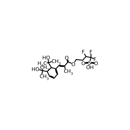 C/C(=C\C1=CC=CC(C(C)(C)O)C1C(C)(C)O)C(=O)OCCC(F)C(F)(F)S(=O)(=O)O